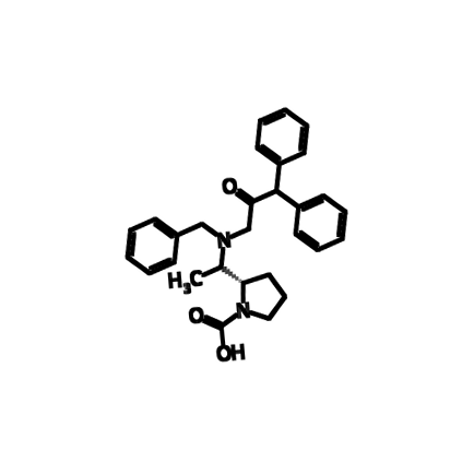 CC([C@@H]1CCCN1C(=O)O)N(CC(=O)C(c1ccccc1)c1ccccc1)Cc1ccccc1